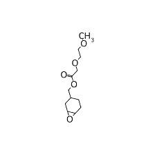 COCCOCC(=O)OCC1CCC2OC2C1